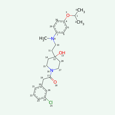 CC(C)Oc1ccc(N(C)CCC2(O)CCN(C(=O)Cc3cccc(Cl)c3)CC2)cc1